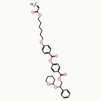 C=CC(=O)OCCCCCCOc1ccc(C(=O)Oc2ccc(C(=O)OCC(OC3CCCCO3)c3ccccc3)cc2)cc1